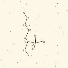 CCCCCC(CC)C(C)(C)C